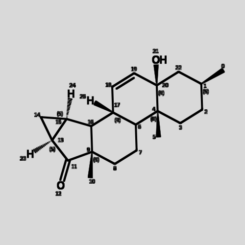 C[C@H]1CC[C@]2(C)C3CC[C@]4(C)C(=O)[C@H]5C[C@H]5C4[C@@H]3C=C[C@]2(O)C1